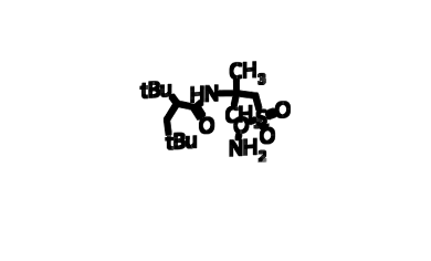 CC(C)(C)CC(C(=O)NC(C)(C)CS(=O)(=O)ON)C(C)(C)C